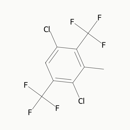 Cc1c(Cl)c(C(F)(F)F)cc(Cl)c1C(F)(F)F